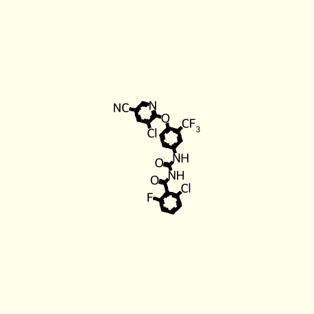 N#Cc1cnc(Oc2ccc(NC(=O)NC(=O)c3c(F)cccc3Cl)cc2C(F)(F)F)c(Cl)c1